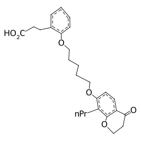 CCCc1c(OCCCCCOc2ccccc2CCC(=O)O)ccc2c1OCCC2=O